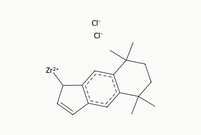 CC1(C)CCC(C)(C)c2cc3c(cc21)C=C[CH]3[Zr+2].[Cl-].[Cl-]